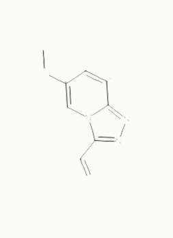 COc1ccc2nnc(C=O)n2c1